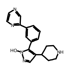 On1ncc(C2CCNCC2)c1-c1cccc(-c2cnccn2)c1